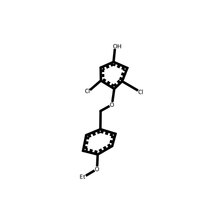 CCOc1ccc(COc2c(Cl)cc(O)cc2Cl)cc1